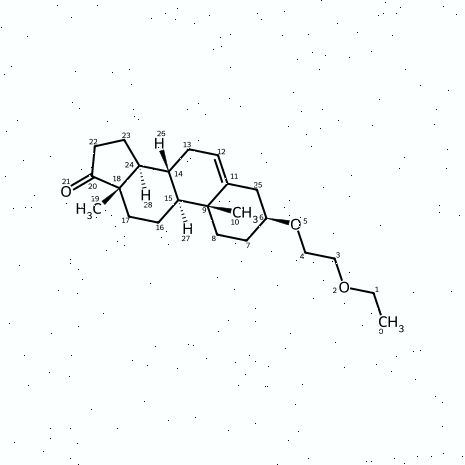 CCOCCO[C@H]1CC[C@@]2(C)C(=CC[C@@H]3[C@@H]2CC[C@]2(C)C(=O)CC[C@@H]32)C1